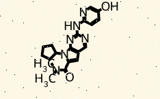 CN(C)C(=O)c1cc2cnc(Nc3ccc(O)cn3)nc2n1C1CCCC1